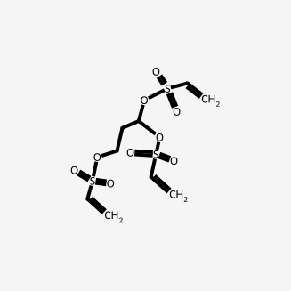 C=CS(=O)(=O)OCCC(OS(=O)(=O)C=C)OS(=O)(=O)C=C